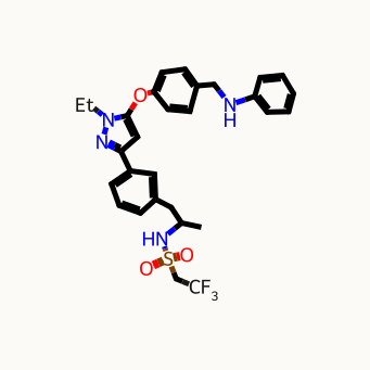 CCn1nc(-c2cccc(CC(C)NS(=O)(=O)CC(F)(F)F)c2)cc1Oc1ccc(CNc2ccccc2)cc1